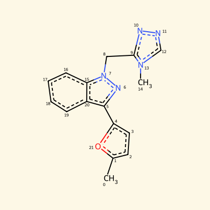 Cc1ccc(-c2nn(Cc3nncn3C)c3ccccc23)o1